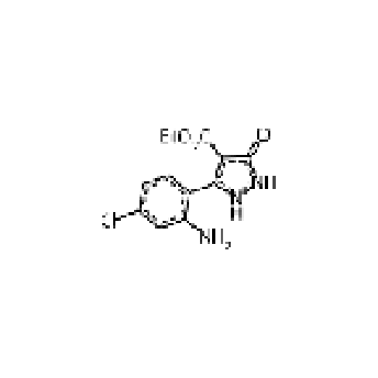 CCOC(=O)c1c(-c2ccc(Cl)cc2N)[nH][nH]c1=O